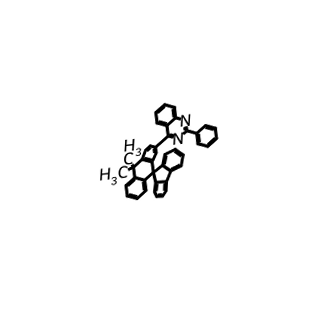 CC1(C)c2ccccc2C2(c3ccccc3-c3ccccc32)c2cc(-c3nc(-c4ccccc4)nc4ccccc34)ccc21